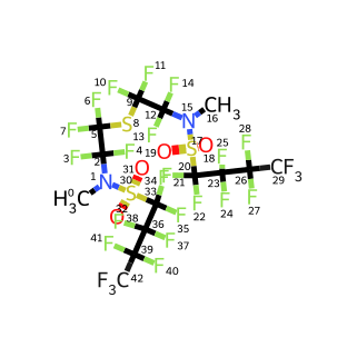 CN(C(F)(F)C(F)(F)SC(F)(F)C(F)(F)N(C)S(=O)(=O)C(F)(F)C(F)(F)C(F)(F)C(F)(F)F)S(=O)(=O)C(F)(F)C(F)(F)C(F)(F)C(F)(F)F